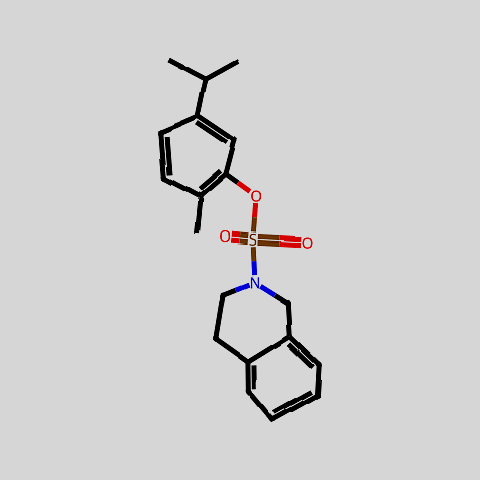 Cc1ccc(C(C)C)cc1OS(=O)(=O)N1CCc2ccccc2C1